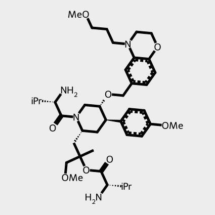 COCCCN1CCOc2ccc(CO[C@H]3CN(C(=O)[C@@H](N)C(C)C)[C@@H](CC(C)(COC)OC(=O)[C@@H](N)C(C)C)C[C@@H]3c3ccc(OC)cc3)cc21